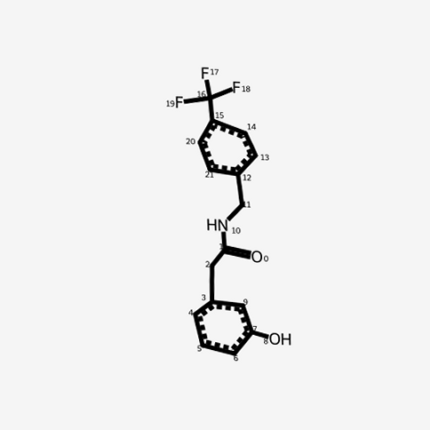 O=C(Cc1cccc(O)c1)NCc1ccc(C(F)(F)F)cc1